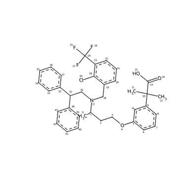 CC(CCOc1cccc(C(C)(C)C(=O)O)c1)N(Cc1cccc(C(F)(F)F)c1Cl)CC(c1ccccc1)c1ccccc1